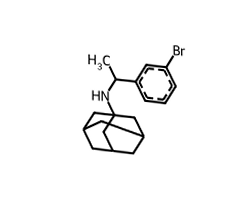 CC(NC12CC3CC(CC(C3)C1)C2)c1cccc(Br)c1